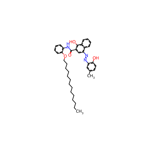 CCCCCCCCCCCCCCOc1ccccc1NC(=O)c1cc(/N=N/c2cc(C)ccc2O)c2ccccc2c1O